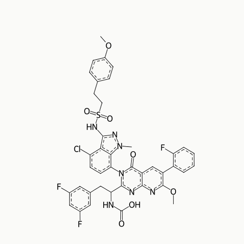 COc1ccc(CCS(=O)(=O)Nc2nn(C)c3c(-n4c(C(Cc5cc(F)cc(F)c5)NC(=O)O)nc5nc(OC)c(-c6ccccc6F)cc5c4=O)ccc(Cl)c23)cc1